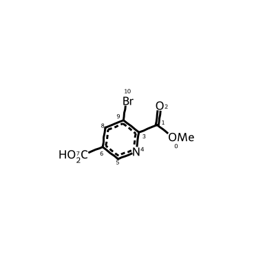 COC(=O)c1ncc(C(=O)O)cc1Br